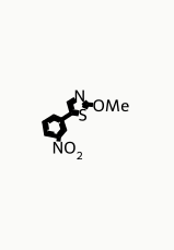 COc1ncc(-c2cccc([N+](=O)[O-])c2)s1